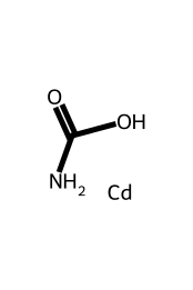 NC(=O)O.[Cd]